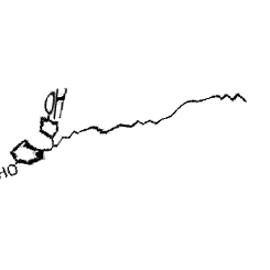 CCCCCCCCCCCCCCCCCCCCCCCC(c1ccc(O)cc1)c1ccc(O)cc1